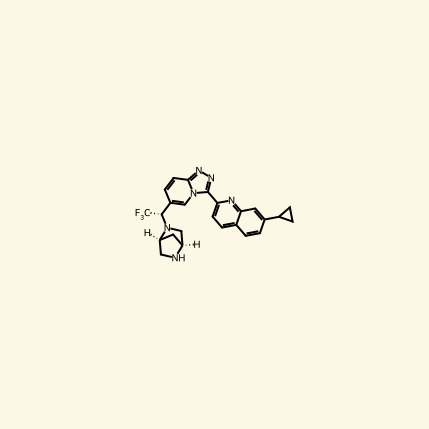 FC(F)(F)[C@H](c1ccc2nnc(-c3ccc4ccc(C5CC5)cc4n3)n2c1)N1C[C@@H]2C[C@H]1CN2